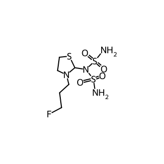 NS(=O)(=O)N(C1SCCN1CCCF)S(N)(=O)=O